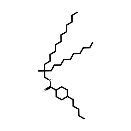 CCCCCCCCCCCCC(C)(CCCCCCCCCC)COC(=O)C1CCC(CCCCC)CC1